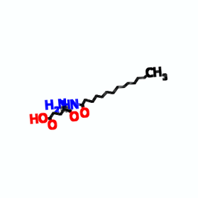 CCCCCCCCCCCCCC(=O)NC(=O)[C@@H](N)CCC(=O)O